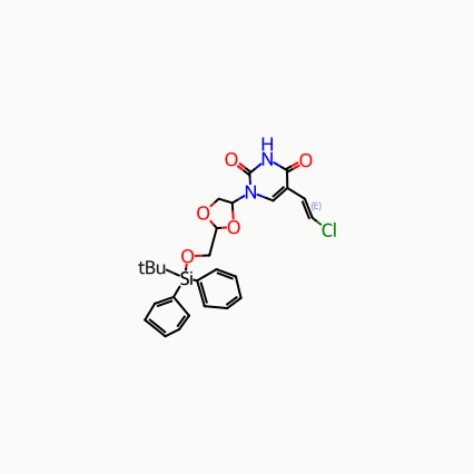 CC(C)(C)[Si](OCC1OCC(n2cc(/C=C/Cl)c(=O)[nH]c2=O)O1)(c1ccccc1)c1ccccc1